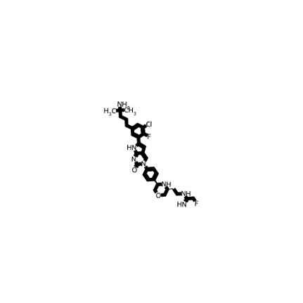 CC(C)(N)CCCc1cc(Cl)c(F)c(-c2cc3cn(-c4ccc([C@@H]5COC[C@@H](CCNC(=N)CF)N5)cc4)c(=O)nc3[nH]2)c1